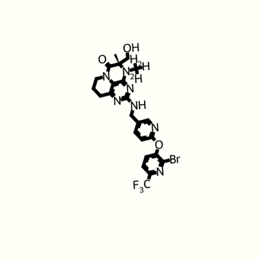 [2H]C([2H])([2H])N1c2nc(NCc3ccc(Oc4ccc(C(F)(F)F)nc4Br)nc3)nc3c2N(CCC3)C(=O)[C@]1(C)CO